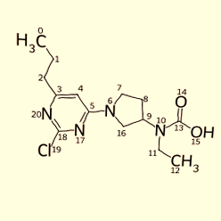 CCCc1cc(N2CCC(N(CC)C(=O)O)C2)nc(Cl)n1